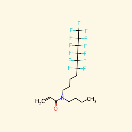 C=CC(=O)N(CCCC)CCCCC(F)(F)C(F)(F)C(F)(F)C(F)(F)C(F)(F)C(F)(F)F